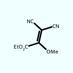 CCOC(=O)C(OC)=C(C#N)C#N